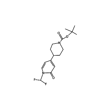 CC(C)(C)OC(=O)N1CCC(c2ccn(C(F)F)c(=O)c2)CC1